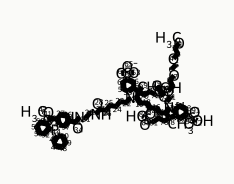 COCCOCCOCCOCC[N+]1=C(/C=C/C=C/C=C2/N(CCCCCC(=O)NCCNC(=O)c3ccc(C(=O)OC)c(P(c4ccccc4)c4ccccc4)c3)c3ccc(S(=O)(=O)[O-])cc3C2(C)CCCS(=O)(=O)O)C(C)(CCCS(=O)(=O)O)c2cc(S(=O)(=O)O)ccc21